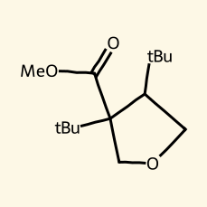 COC(=O)C1(C(C)(C)C)COCC1C(C)(C)C